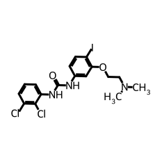 CN(C)CCOc1cc(NC(=O)Nc2cccc(Cl)c2Cl)ccc1I